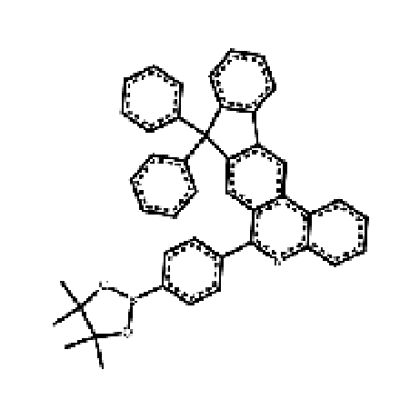 CC1(C)OB(c2ccc(-c3nc4ccccc4c4cc5c(cc34)C(c3ccccc3)(c3ccccc3)c3ccccc3-5)cc2)OC1(C)C